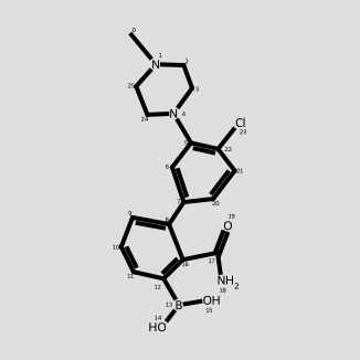 CN1CCN(c2cc(-c3cccc(B(O)O)c3C(N)=O)ccc2Cl)CC1